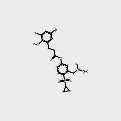 COc1c(F)cc(Br)cc1CCC(=O)Nc1ccc(S(=O)(=O)C2CC2)c(CN(C)C=O)c1